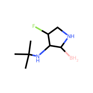 BC1NCC(F)C1NC(C)(C)C